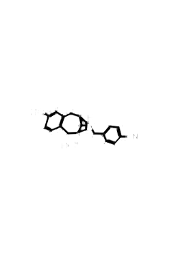 Cl.N#Cc1ccc(CNC2C3CCC2Cc2cc(O)ccc2C3)cc1